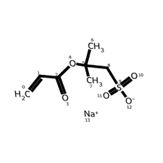 C=CC(=O)OC(C)(C)CS(=O)(=O)[O-].[Na+]